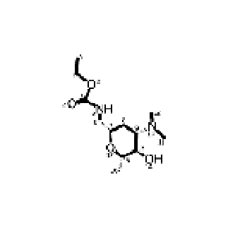 CCOC(=O)NC[C@@H]1C[C@H](N(C)C)[C@@H](O)[C@H](C)O1